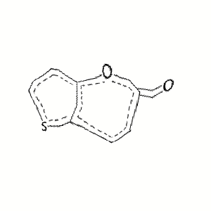 O=c1ccc2sccc2o1